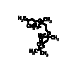 C=C(C)CCOC(C)(C)CCOC(C)(C)CC(O)C[N+](C)(C)C